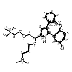 CN(C)CCCOC(COCC[Si](C)(C)C)c1cc2c([nH]1)-c1cc(Cl)ccc1Oc1ccccc1-2